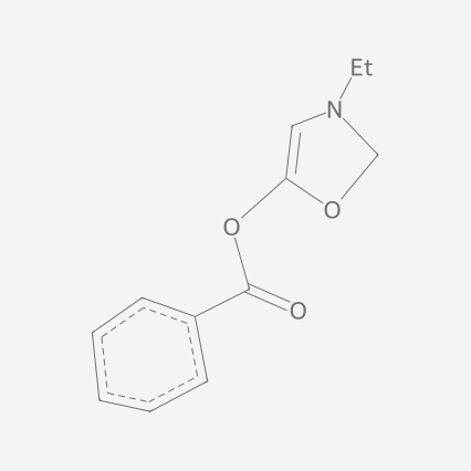 CCN1C=C(OC(=O)c2ccccc2)OC1